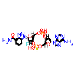 NC(=O)c1cccc2c1nnn2[C@@H]1O[C@@H]2COP(=O)(O)O[C@H]3C[C@H](n4cnc5c(N)ncnc54)O[C@@H]3COP(O)(=S)O[C@H]2[C@H]1F